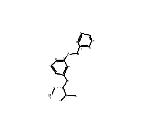 CC(C)[C@H](CBr)Cc1cccc(OCc2ccccc2)c1